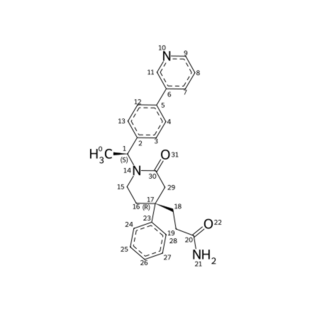 C[C@@H](c1ccc(-c2cccnc2)cc1)N1CC[C@@](CCC(N)=O)(c2ccccc2)CC1=O